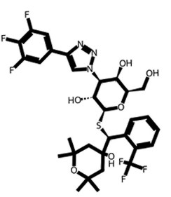 CC1(C)CC(O)([C@@H](S[C@@H]2O[C@H](CO)[C@H](O)[C@H](n3cc(-c4cc(F)c(F)c(F)c4)nn3)[C@H]2O)c2ccccc2C(F)(F)F)CC(C)(C)O1